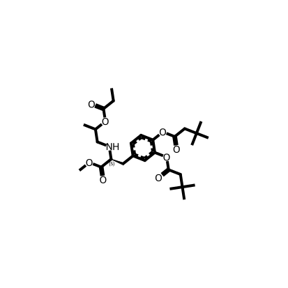 CCC(=O)OC(C)CN[C@@H](Cc1ccc(OC(=O)CC(C)(C)C)c(OC(=O)CC(C)(C)C)c1)C(=O)OC